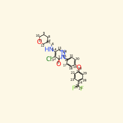 O=c1c(Cl)c(NC[C@H]2CCCOC2)cnn1-c1ccc(Oc2ccc(C(F)F)cc2)cc1